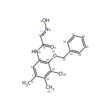 Cc1cc(NC(=O)/C=N/O)c(OCc2ccccc2)c(Cl)c1C